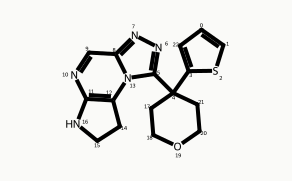 c1csc(C2(c3nnc4cnc5c(n34)CCN5)CCOCC2)c1